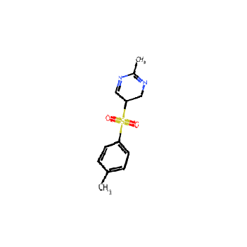 CC1=NCC(S(=O)(=O)c2ccc(C)cc2)C=N1